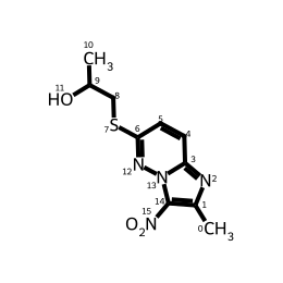 Cc1nc2ccc(SCC(C)O)nn2c1[N+](=O)[O-]